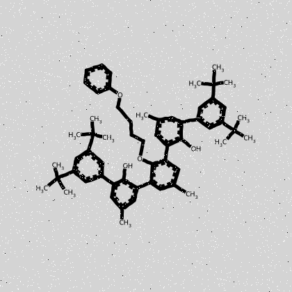 Cc1cc(-c2cc(C(C)(C)C)cc(C(C)(C)C)c2)c(O)c(-c2cc(C)cc(-c3cc(C)cc(-c4cc(C(C)(C)C)cc(C(C)(C)C)c4)c3O)c2OCCCCOc2ccccc2)c1